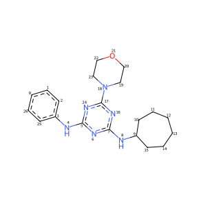 c1ccc(Nc2nc(NC3CCCCCC3)nc(N3CCOCC3)n2)cc1